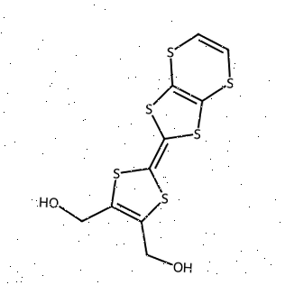 OCC1=C(CO)SC(=C2SC3=C(SC=CS3)S2)S1